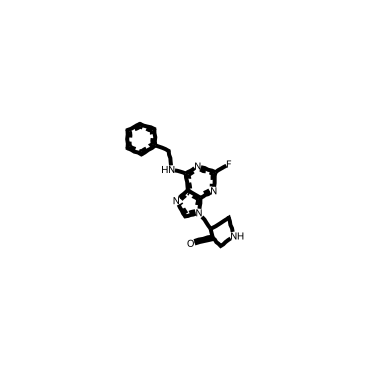 O=C1CNCC1n1cnc2c(NCc3ccccc3)nc(F)nc21